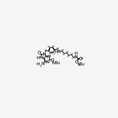 CCCCOc1nc(N)c2[nH]c(=O)n(Cc3ccc(CNCCCCCCNC(=O)OC(C)(C)C)cc3)c2n1